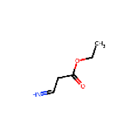 CCOC(=O)CC=N